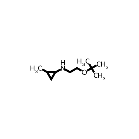 CC1CC1NCCOC(C)(C)C